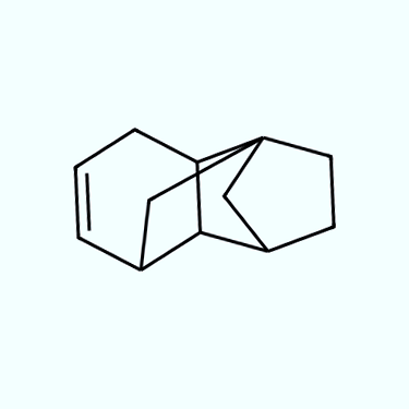 C1=CC2CC34CCC(C3)C2C4C1